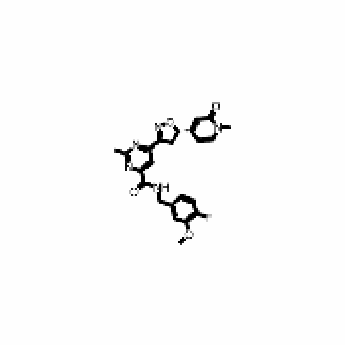 COc1cc(CNC(=O)c2cc(C3=NO[C@H](c4ccn(C)c(=O)c4)C3)nc(C)n2)ccc1F